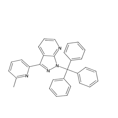 Cc1cccc(-c2nn(C(c3ccccc3)(c3ccccc3)c3ccccc3)c3ncccc23)n1